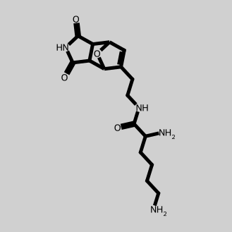 NCCCCC(N)C(=O)NCCC1=CC2OC1C1C(=O)NC(=O)C21